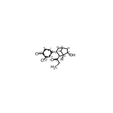 CCC(=O)[C@H]1[C@@H](c2ccc(Cl)c(Cl)c2)CC2CC(O)[C@H]1C2